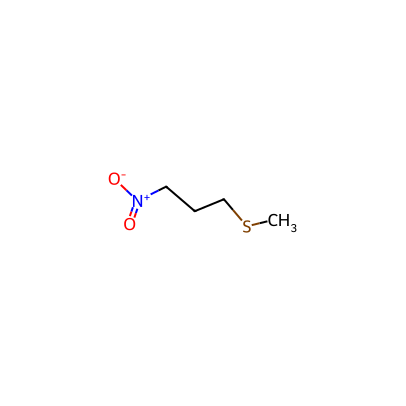 CSCCC[N+](=O)[O-]